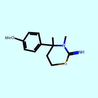 COc1ccc(C2(C)CCSC(=N)N2C)cc1